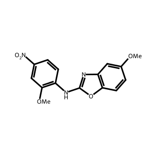 COc1ccc2oc(Nc3ccc([N+](=O)[O-])cc3OC)nc2c1